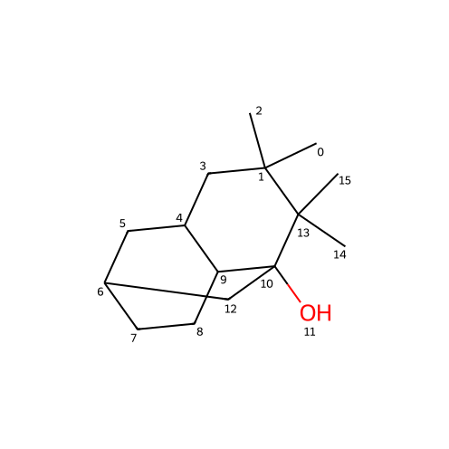 CC1(C)CC2CC3CCC2C(O)(C3)C1(C)C